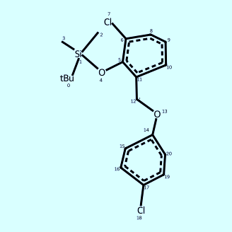 CC(C)(C)[Si](C)(C)Oc1c(Cl)cccc1[C]Oc1ccc(Cl)cc1